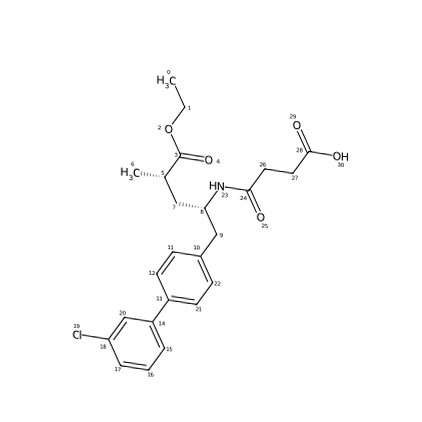 CCOC(=O)[C@@H](C)C[C@@H](Cc1ccc(-c2cccc(Cl)c2)cc1)NC(=O)CCC(=O)O